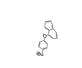 CCC(C)c1ccc(Oc2cccc3ccccc23)cc1